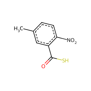 Cc1ccc([N+](=O)[O-])c(C(=O)S)c1